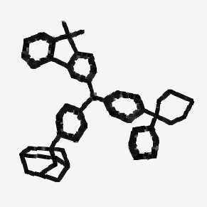 CC1(C)c2ccccc2-c2cc(N(c3ccc(C45CC6CC(CC(C6)C4)C5)cc3)c3ccc(C4(c5ccccc5)CCCCC4)cc3)ccc21